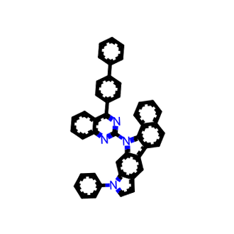 c1ccc(-c2ccc(-c3nc(-n4c5cc6c(ccn6-c6ccccc6)cc5c5ccc6ccccc6c54)nc4ccccc34)cc2)cc1